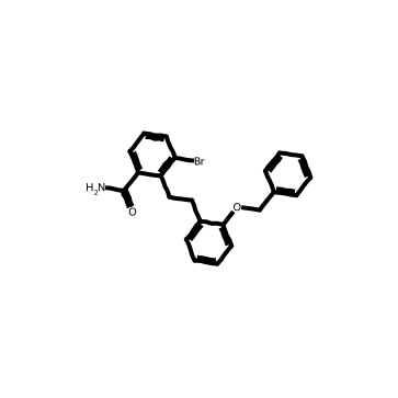 NC(=O)c1cccc(Br)c1CCc1ccccc1OCc1ccccc1